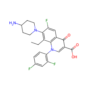 CCc1c(N2CCC(N)CC2)c(F)cc2c(=O)c(C(=O)O)cn(-c3ccc(F)cc3F)c12